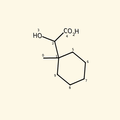 CC1(C(O)C(=O)O)CCCCC1